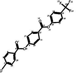 COc1ccc(C(=O)Oc2ccc(C(=O)Oc3ccc(C(F)(F)F)cc3)cc2)cc1